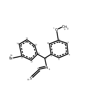 COc1cccc(C(N=C=S)c2cccc(Br)c2)c1